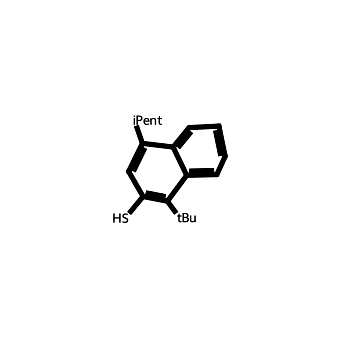 CCCC(C)c1cc(S)c(C(C)(C)C)c2ccccc12